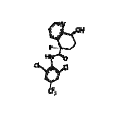 O=C(Nc1c(Cl)cc(C(F)(F)F)cc1Cl)[C@]1(F)CC[C@H](O)c2ncccc21